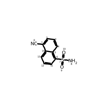 N#Cc1cccc2c(S(N)(=O)=O)cccc12